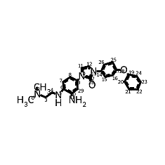 CN(C)CCNc1ccc(-n2ccn(-c3ccc(Oc4ccccc4)cc3)c2=O)cc1N